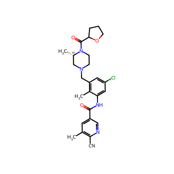 Cc1cc(C(=O)Nc2cc(Cl)cc(CN3CCN(C(=O)C4CCCO4)[C@@H](C)C3)c2C)cnc1C#N